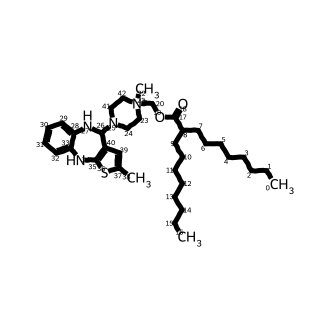 CCCCCCCCC(CCCCCCCC)C(=O)OC[N+]1(C)CCN(C2Nc3ccccc3Nc3sc(C)cc32)CC1